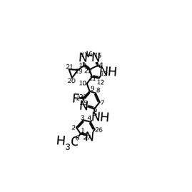 Cc1ccc(Nc2ccc(Cc3c[nH]c4ncnc(C5CC5)c34)c(F)n2)cn1